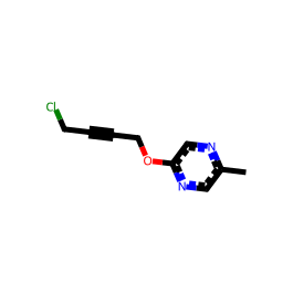 Cc1cnc(OCC#CCCl)cn1